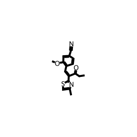 CCC(=O)C(=Cc1ccc(C#N)cc1OC)c1nc(C)cs1